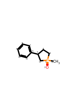 CP1(=O)CCC(c2ccccc2)C1